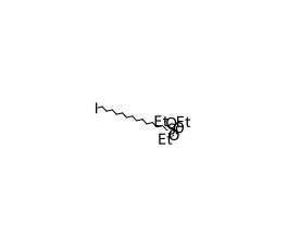 CCO[Si](CCCCCCCCCCCCCCI)(OCC)OCC